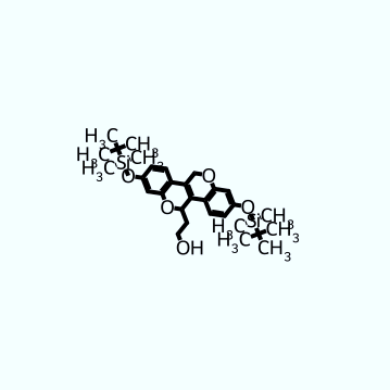 CC(C)(C)[Si](C)(C)Oc1ccc2c(c1)OC(CCO)C1=C2COc2cc(O[Si](C)(C)C(C)(C)C)ccc21